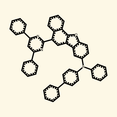 c1ccc(-c2ccc(N(c3ccccc3)c3ccc4oc5c6ccccc6c(-c6nc(-c7ccccc7)cc(-c7ccccc7)n6)cc5c4c3)cc2)cc1